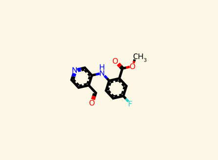 COC(=O)c1cc(F)ccc1Nc1cnccc1C=O